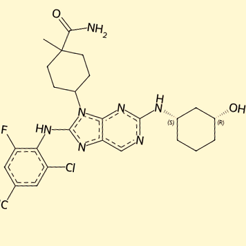 CC1(C(N)=O)CCC(n2c(Nc3c(F)cc(C#N)cc3Cl)nc3cnc(N[C@H]4CCC[C@@H](O)C4)nc32)CC1